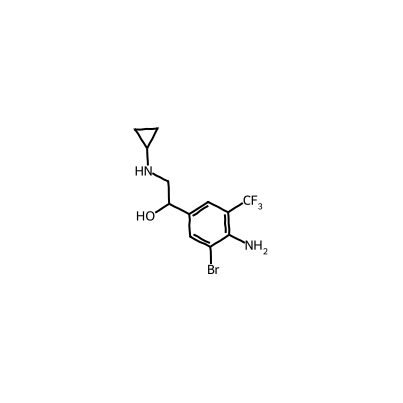 Nc1c(Br)cc(C(O)CNC2CC2)cc1C(F)(F)F